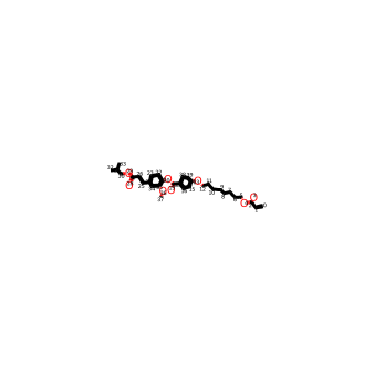 C=CC(=O)OCCCCCCCCOc1ccc(C(=O)Oc2ccc(/C=C/C(=O)OCC(C)C)cc2OC)cc1